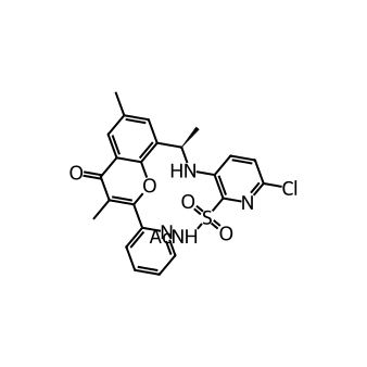 CC(=O)NS(=O)(=O)c1nc(Cl)ccc1N[C@H](C)c1cc(C)cc2c(=O)c(C)c(-c3ccccn3)oc12